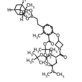 Cc1c(CCB2O[C@@H]3C[C@@H]4C[C@@H](C4(C)C)[C@]3(C)O2)ccc(OC2CN(C(=O)[C@@H](CC(=O)N(C)C)NC(=O)OC(C)(C)C)C2)c1C(=O)OC(C)(C)C